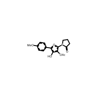 COc1ccc(-c2oc(N3CCCC3=O)c(OC(C)=O)c2O)cc1